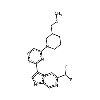 CSCC1CCCN(c2ccnc(-c3cnc4cnc(C(F)F)cn34)n2)C1